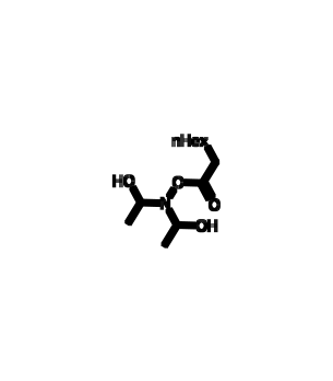 CCCCCCCC(=O)ON(C(C)O)C(C)O